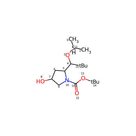 C[SiH](C)OC(C1CC(O)CN1C(=O)OC(C)(C)C)C(C)(C)C